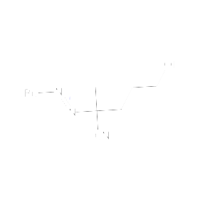 CC(C)(C)/N=N/C(C)(C#N)CCCO